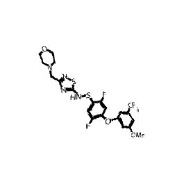 COc1cc(Oc2cc(F)c(SNc3nc(CN4CCOCC4)ns3)cc2F)cc(C(F)(F)F)c1